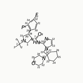 CC(C)(C)N1C[C@@H](C(=O)Nc2nccn2CC2(N3CCOCC3)CCCCC2)[C@H](c2ccc(F)cc2F)C1